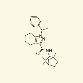 CC(c1ccccc1)n1nc(C(=O)NC2C3(C)CCC(C3)C2(C)C)c2c1CCCC2